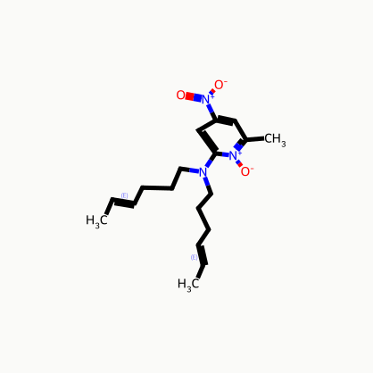 C/C=C/CCCN(CCC/C=C/C)c1cc([N+](=O)[O-])cc(C)[n+]1[O-]